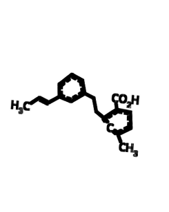 CC=Cc1cccc(CCc2cc(C)ccc2C(=O)O)c1